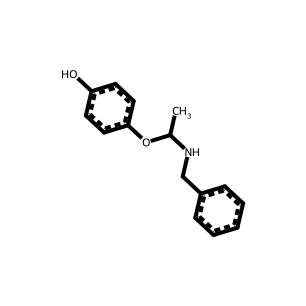 CC(NCc1ccccc1)Oc1ccc(O)cc1